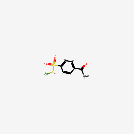 COC(=O)c1ccc(S(=O)(=O)SCl)cc1